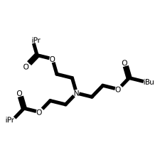 CCC(C)C(=O)OCCN(CCOC(=O)C(C)C)CCOC(=O)C(C)C